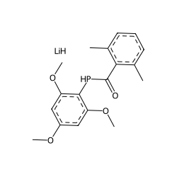 COc1cc(OC)c(PC(=O)c2c(C)cccc2C)c(OC)c1.[LiH]